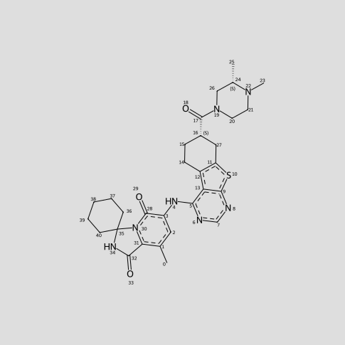 Cc1cc(Nc2ncnc3sc4c(c23)CC[C@H](C(=O)N2CCN(C)[C@@H](C)C2)C4)c(=O)n2c1C(=O)NC21CCCCC1